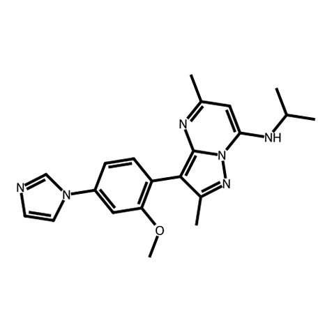 COc1cc(-n2ccnc2)ccc1-c1c(C)nn2c(NC(C)C)cc(C)nc12